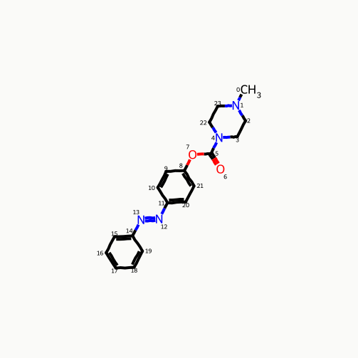 CN1CCN(C(=O)Oc2ccc(N=Nc3ccccc3)cc2)CC1